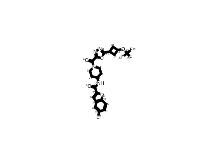 O=C(NC1CCN(C(=O)c2nnc(C3CC(OC(F)(F)F)C3)o2)CC1)c1cc2cc(Cl)ccc2o1